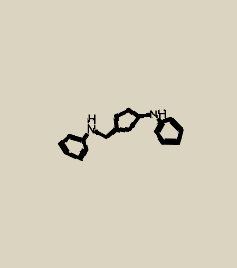 c1ccc(NCC2CCC(Nc3ccccc3)C2)cc1